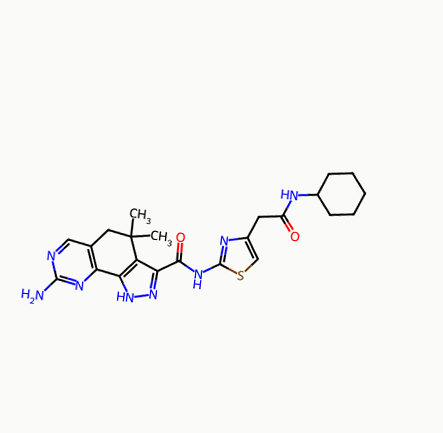 CC1(C)Cc2cnc(N)nc2-c2[nH]nc(C(=O)Nc3nc(CC(=O)NC4CCCCC4)cs3)c21